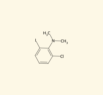 CN(C)c1c(Cl)cccc1I